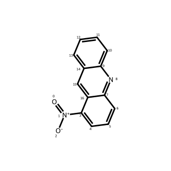 O=[N+]([O-])c1cccc2nc3ccccc3cc12